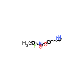 Cc1ccc(/C=C/c2nc(COc3ccc(CCCCc4cccnn4)cc3)co2)c(F)c1